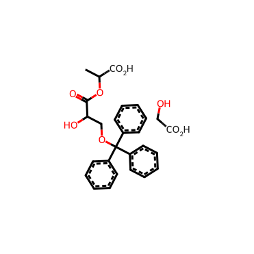 CC(OC(=O)C(O)COC(c1ccccc1)(c1ccccc1)c1ccccc1)C(=O)O.O=C(O)CO